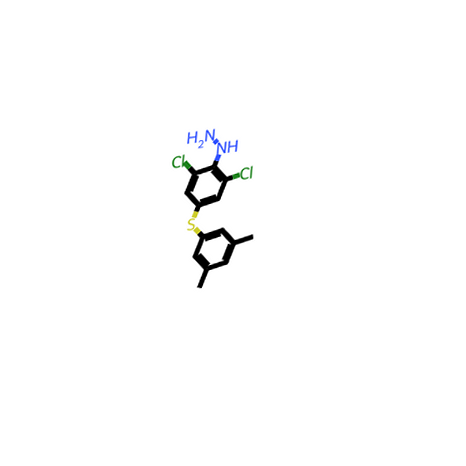 Cc1cc(C)cc(Sc2cc(Cl)c(NN)c(Cl)c2)c1